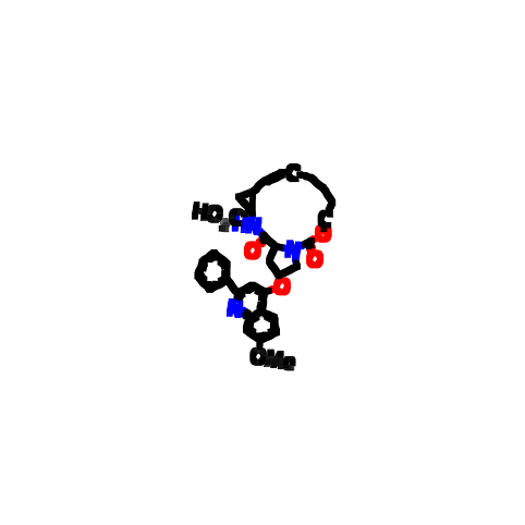 COc1ccc2c(OC3CC4C(=O)NC5(C(=O)O)CC5/C=C\CCCCCOC(=O)N4C3)cc(-c3ccccc3)nc2c1